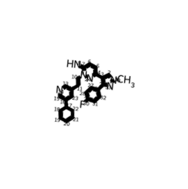 Cn1cc(-c2ccc(=N)n(/C=C/c3cncc(C4C=CC=CC4)c3)n2)c(-c2ccc(F)cc2)n1